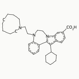 O=C(O)c1ccc2c(C3CCCCC3)c3n(c2c1)CCN(CCN1CCCCCCCC1)c1ccccc1-3